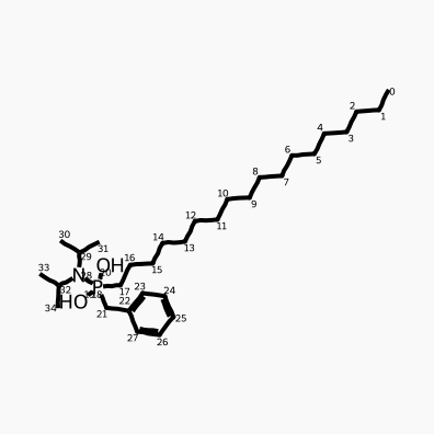 CCCCCCCCCCCCCCCCCCP(O)(O)(Cc1ccccc1)N(C(C)C)C(C)C